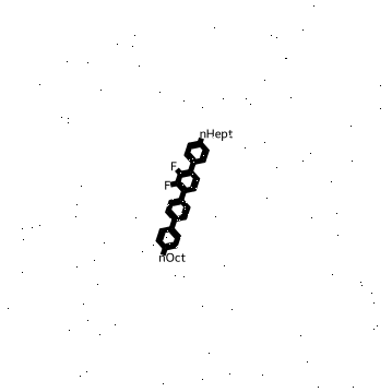 CCCCCCCCc1ccc(-c2ccc(-c3ccc(-c4ccc(CCCCCCC)cc4)c(F)c3F)cc2)cc1